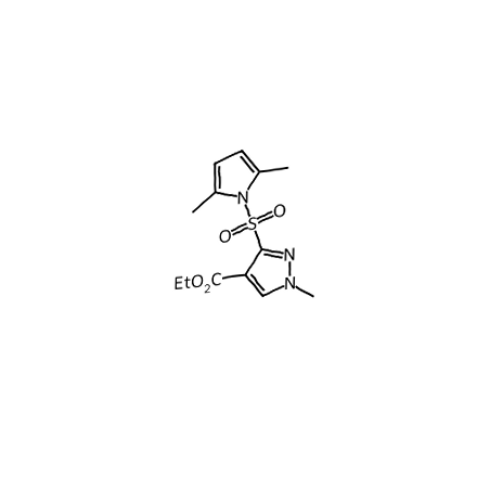 CCOC(=O)c1cn(C)nc1S(=O)(=O)n1c(C)ccc1C